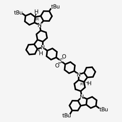 CC(C)(C)C1CCC2C(C1)C1CC(C(C)(C)C)CCC1N2C1CCC2[C@H](C1)C1CCCCC1N2C1CCC(S(=O)(=O)C2CCC(N3C4CCC(N5C6CCC(C(C)(C)C)CC6[C@H]6CC(C(C)(C)C)CCC65)CC4C4CCCC[C@@H]43)CC2)CC1